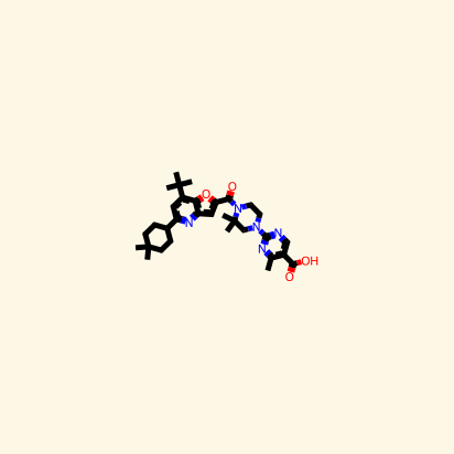 Cc1nc(N2CCN(C(=O)c3cc4nc(C5CCC(C)(C)CC5)cc(C(C)(C)C)c4o3)C(C)(C)C2)ncc1C(=O)O